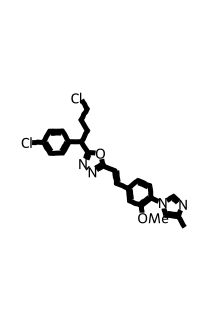 COc1cc(C=Cc2nnc(C(CCCCl)c3ccc(Cl)cc3)o2)ccc1-n1cnc(C)c1